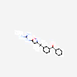 CNC(=N)Nc1cc(C(C)(C)c2cccc(C(=O)c3ccccc3)c2)no1